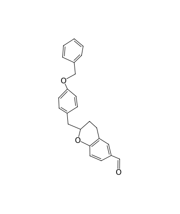 O=Cc1ccc2c(c1)CCC(Cc1ccc(OCc3ccccc3)cc1)O2